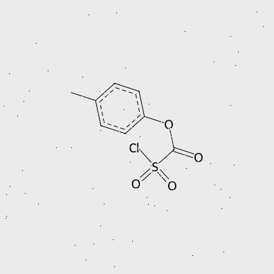 Cc1ccc(OC(=O)S(=O)(=O)Cl)cc1